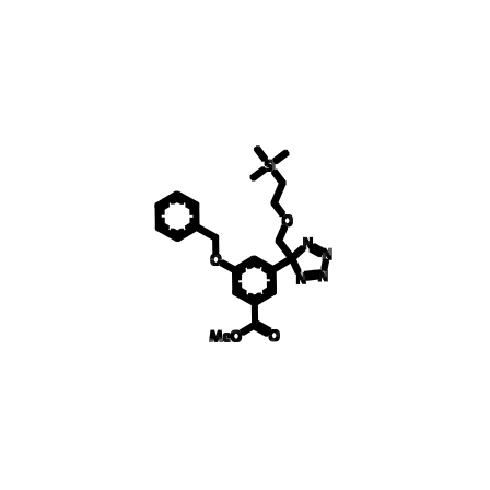 COC(=O)c1cc(OCc2ccccc2)cc(C2(COCC[Si](C)(C)C)N=NN=N2)c1